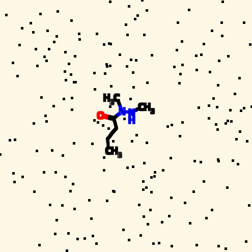 CCCC(=O)N(C)NC